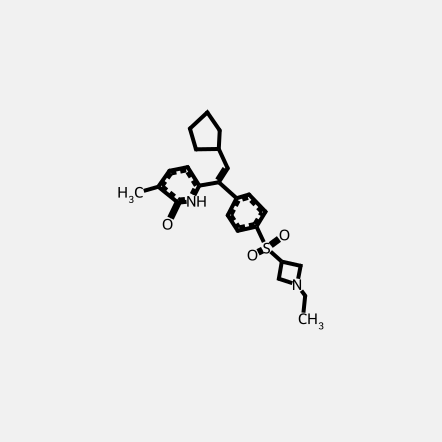 CCN1CC(S(=O)(=O)c2ccc(C(=CC3CCCC3)c3ccc(C)c(=O)[nH]3)cc2)C1